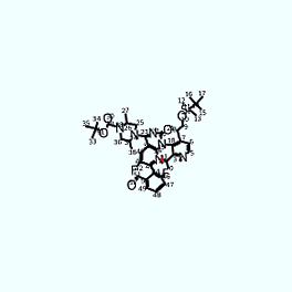 CC(C)c1nccc(CCO[Si](C)(C)C(C)(C)C)c1-n1c(=O)nc(N2CC(C)N(C(=O)OC(C)(C)C)CC2C)c2cc(F)c(-c3c(F)cccc3C=O)nc21